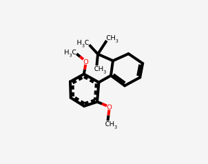 COc1cccc(OC)c1C1=CC=CCC1C(C)(C)C